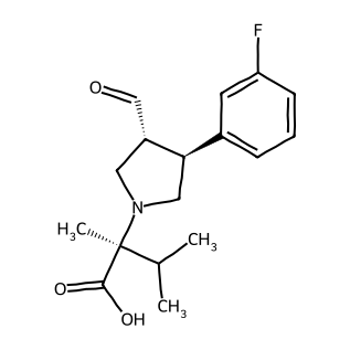 CC(C)[C@@](C)(C(=O)O)N1C[C@H](c2cccc(F)c2)[C@@H](C=O)C1